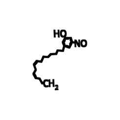 C=CC/C=C\C/C=C\CCCCCCCc1cc(O)cc(N=O)c1